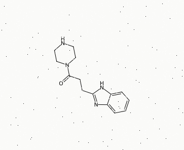 O=C(CCc1nc2ccccc2[nH]1)N1CCNCC1